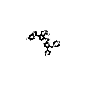 O=C1NCc2c(-c3cnc4cc(F)ccn34)ccc(Nc3ccc([C@H]4CCOC4)c(CN4CCOCC4)n3)c21